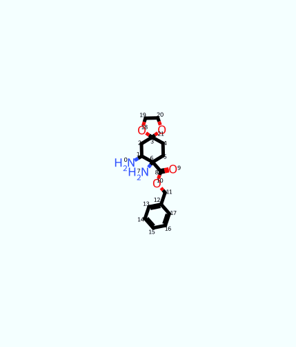 NC1CC2(CCC1(N)C(=O)OCc1ccccc1)OCCO2